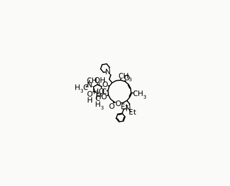 CCC1OC(=O)CC(O)C(C)C(O[C@@H]2O[C@H](C)[C@@H](O)[C@H](N(C)C)[C@H]2O)C(CCN2CCCCC2)CC(C)C(=O)C=CC(C)=CC1CN(CC)Cc1ccccc1